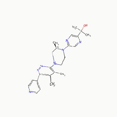 Cc1c(-c2ccncc2)nnc(N2CCN(c3cnc(C(C)(C)O)cn3)[C@H](C)C2)c1C